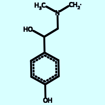 [CH2]N(C)CC(O)c1ccc(O)cc1